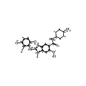 CCOc1cc2c(cc1C(=O)NC1CCC(C(F)(F)F)CC1)nc(Nc1c(Cl)ccc(Cl)c1F)n2C